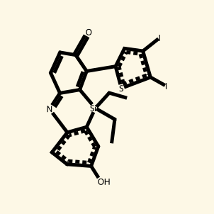 CC[Si]1(CC)C2=C(c3cc(I)c(I)s3)C(=O)C=CC2=Nc2ccc(O)cc21